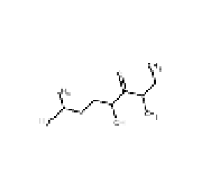 CCC(C)C(=O)C(O)CCC(C)C